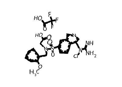 COc1ccccc1CN(CC(=O)O)S(=O)(=O)c1ccc2c(N(Cl)C(=N)N)cncc2c1.O=C(O)C(F)(F)F